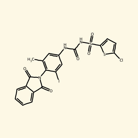 Cc1cc(NC(=O)NS(=O)(=O)c2ccc(Cl)s2)cc(I)c1N1C(=O)c2ccccc2C1=O